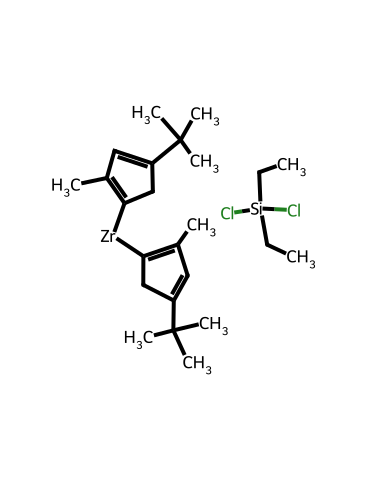 CC1=[C]([Zr][C]2=C(C)C=C(C(C)(C)C)C2)CC(C(C)(C)C)=C1.CC[Si](Cl)(Cl)CC